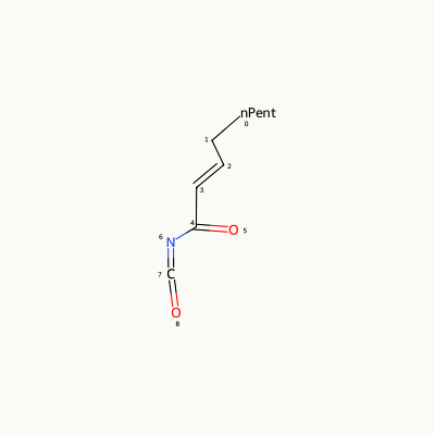 CCCCCC/C=C/C(=O)N=C=O